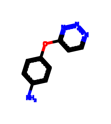 Nc1ccc(Oc2ccnnn2)cc1